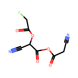 N#CCC(=O)OC(=O)C(C#N)OC(=O)CF